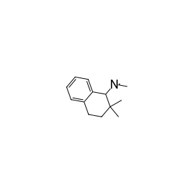 C[N]C1c2ccccc2CCC1(C)C